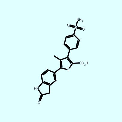 Cc1c(-c2ccc3c(c2)CC(=O)N3)sc(C(=O)O)c1-c1ccc(S(N)(=O)=O)cc1